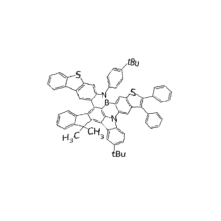 CC(C)(C)c1ccc(N2B3c4cc5sc(-c6ccccc6)c(-c6ccccc6)c5cc4-n4c5ccc(C(C)(C)C)cc5c5c6c(c(c3c54)-c3cc4c(cc32)sc2ccccc24)-c2ccccc2C6(C)C)cc1